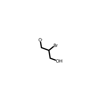 [O]CC(Br)CO